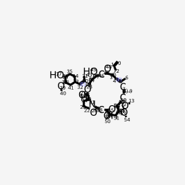 C=CC[C@@H]1/C=C(\C)C[C@H](C)C[C@H](OC)[C@H]2O[C@@](O)(CC(=O)N3CCC[C@H]3C(=O)O[C@H](/C(C)=C/C3CC[C@@H](O)[C@H](OC)C3)[C@H](C)[C@H](O)CC1=O)[C@H](C)C[C@@H]2OC